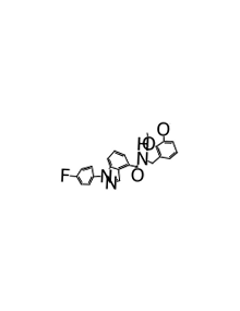 COc1cccc(CNC(=O)c2cccc3c2cnn3-c2ccc(F)cc2)c1OC